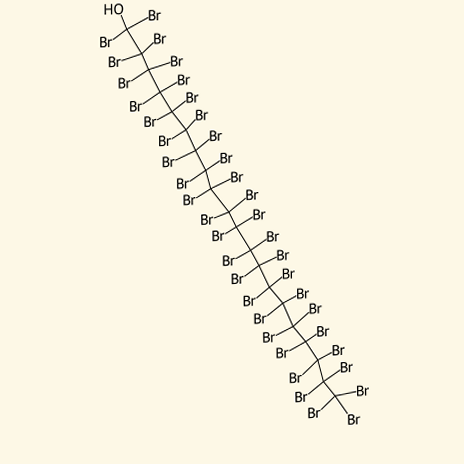 OC(Br)(Br)C(Br)(Br)C(Br)(Br)C(Br)(Br)C(Br)(Br)C(Br)(Br)C(Br)(Br)C(Br)(Br)C(Br)(Br)C(Br)(Br)C(Br)(Br)C(Br)(Br)C(Br)(Br)C(Br)(Br)C(Br)(Br)C(Br)(Br)C(Br)(Br)C(Br)(Br)C(Br)(Br)C(Br)(Br)Br